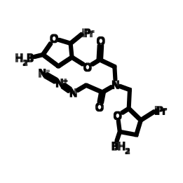 BC1CC(C(C)C)C(CN(CC(=O)OC2CC(B)OC2C(C)C)C(=O)CN=[N+]=[N-])O1